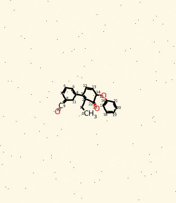 CCC1=C(C2=CC=[C]C(=C=O)C2)C=CC(Oc2cc[c]cc2)C1=O